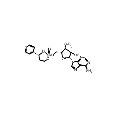 CC(=O)O[C@@H]1[C@@H](COP2(=O)OCC[C@H](c3ccncc3)O2)O[C@@H](n2cnc3c(N)ncnc32)[C@]1(C)O